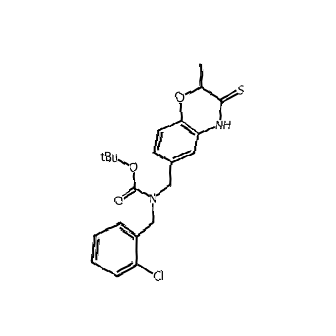 CC1Oc2ccc(CN(Cc3ccccc3Cl)C(=O)OC(C)(C)C)cc2NC1=S